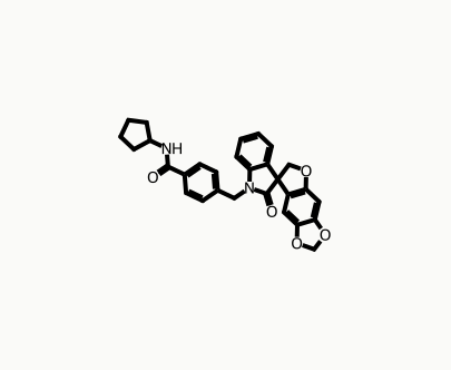 O=C(NC1CCCC1)c1ccc(CN2C(=O)C3(COc4cc5c(cc43)OCO5)c3ccccc32)cc1